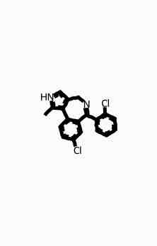 Cc1[nH]cc2c1-c1ccc(Cl)cc1C(c1ccccc1Cl)=NC2